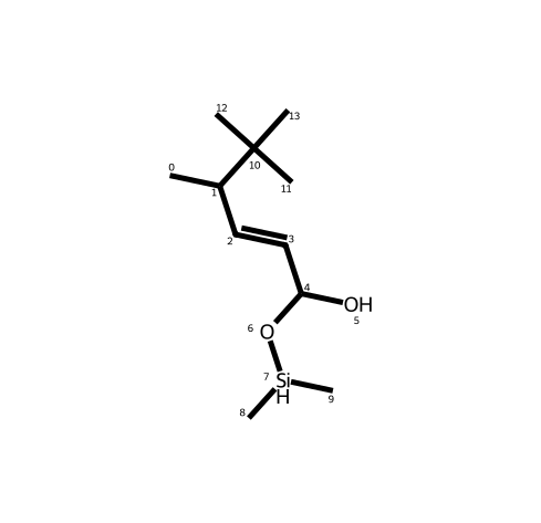 CC(C=CC(O)O[SiH](C)C)C(C)(C)C